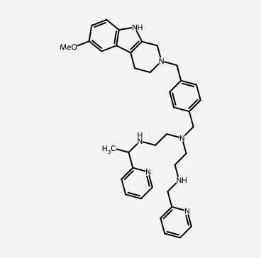 COc1ccc2[nH]c3c(c2c1)CCN(Cc1ccc(CN(CCNCc2ccccn2)CCNC(C)c2ccccn2)cc1)C3